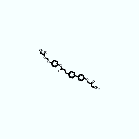 C=CC(=O)COc1ccc(-c2ccc(CCC(=O)Oc3ccc(OCOC(=O)C=C)cc3)cc2)cc1